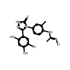 CC/N=C(\C)Nc1ccc(-n2c(-c3cc(CC)c(O)cc3O)n[nH]c2=S)cc1C